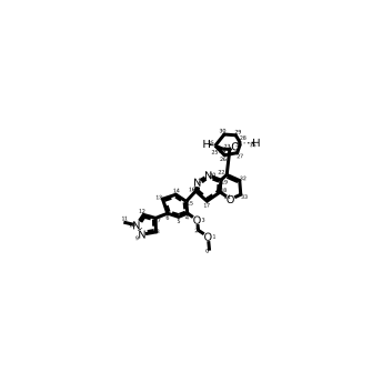 COCOc1cc(-c2cnn(C)c2)ccc1-c1cc2c(nn1)C(C1C[C@H]3CC[C@H](CC3)C1)=CCO2